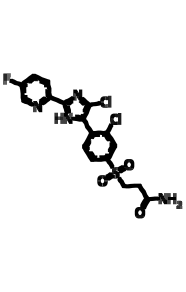 NC(=O)CCS(=O)(=O)c1ccc(-c2[nH]c(-c3ccc(F)cn3)nc2Cl)c(Cl)c1